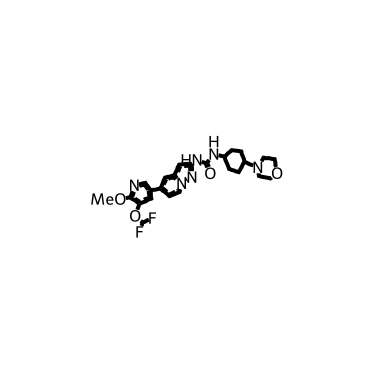 COc1ncc(-c2ccn3nc(NC(=O)NC4CCC(N5CCOCC5)CC4)cc3c2)cc1OC(F)F